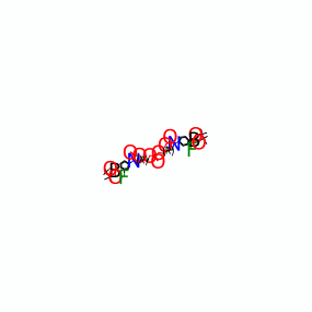 CC1(C)OB(c2ccc(N3C[C@H](COC(=O)OC[C@H]4CN(c5ccc(B6OC(C)(C)C(C)(C)O6)c(F)c5)C(=O)O4)OC3=O)cc2F)OC1(C)C